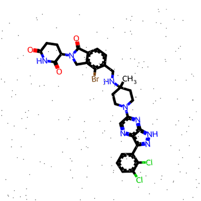 CC1(NCc2ccc3c(c2Br)CN(C2CCC(=O)NC2=O)C3=O)CCN(c2cnc3c(-c4cccc(Cl)c4Cl)n[nH]c3n2)CC1